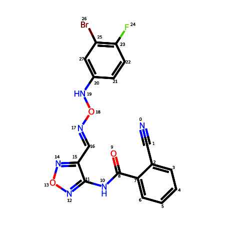 N#Cc1ccccc1C(=O)Nc1nonc1/C=N/ONc1ccc(F)c(Br)c1